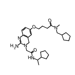 CC(NC(=O)CN1Cc2cc(OCCCC(=O)N(C)CC3CCCC3)ccc2N=C1N)C1CCCC1